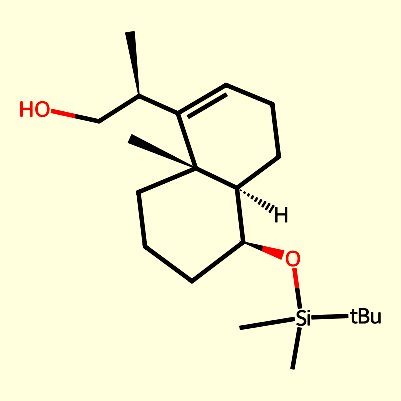 C[C@H](CO)C1=CCC[C@H]2[C@@H](O[Si](C)(C)C(C)(C)C)CCC[C@]12C